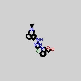 O=C1CC2(CN(c3nc(Nc4cc5c6c(c4)CN(C4CC4)CC6CCC5)ncc3Cl)c3ccccc32)O1